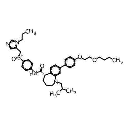 CCCCOCCOc1ccc(-c2ccc3c(c2)N(CC(C)C)CCC[C@@H]3C(=O)Nc2ccc([S+]([O-])Cc3cncn3CCC)cc2)cc1